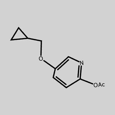 CC(=O)Oc1ccc(OCC2CC2)cn1